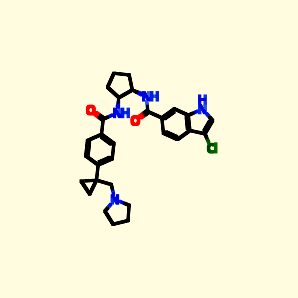 O=C(N[C@H]1CCC[C@H]1NC(=O)c1ccc2c(Cl)c[nH]c2c1)c1ccc(C2(CN3CCCC3)CC2)cc1